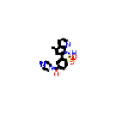 Cc1cc2c(c3ncccc13)NS(=O)(=O)c1ccc(C(=O)N3CCN(C)CC3)cc1-2